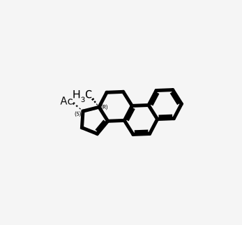 CC(=O)[C@H]1CC=C2c3ccc4ccccc4c3CC[C@@]21C